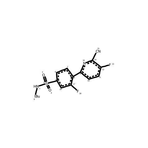 CC(C)(C)NS(=O)(=O)c1ccc(-c2ccc(F)c(C#N)n2)c(F)c1